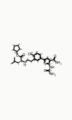 CC(C)C[C@H](NCCc1cc(-c2cc(C(N)=O)c(NC(N)=O)s2)ccc1Cl)C(=O)OC1CCCC1